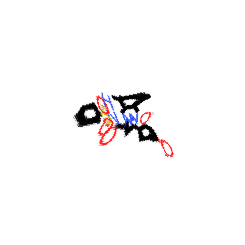 COc1ccc(-c2cc(C(=O)NS(=O)(=O)c3ccccc3)n(Cc3c(C)cccc3C)n2)c(OC)c1